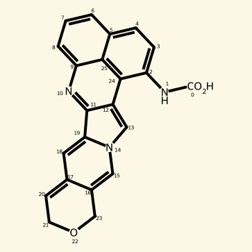 O=C(O)Nc1ccc2cccc3nc4c(cn5cc6c(cc45)=CCOC6)c1c23